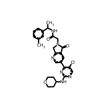 Cc1cccc(C(C)NC(=O)CN2Cc3ncc(-c4nc(NC5CCOCC5)ncc4Cl)cc3C2=O)c1